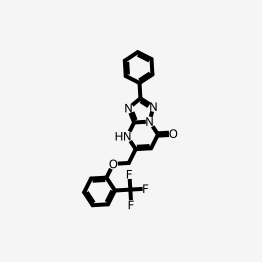 O=c1cc(COc2ccccc2C(F)(F)F)[nH]c2nc(-c3ccccc3)nn12